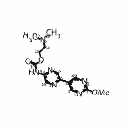 COc1ncc(-c2cnc(NC(=O)OCCN(C)C)cn2)cn1